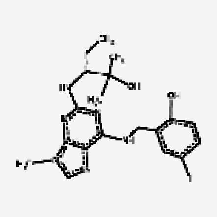 CCC(Nc1nc(NCc2cc(I)ccc2O)c2ncn(C)c2n1)C(C)(C)O